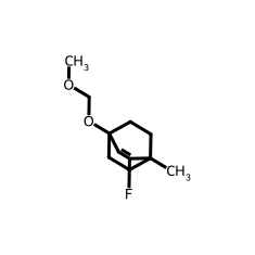 COCOC12C=C(F)C(C)(CC1)CC2